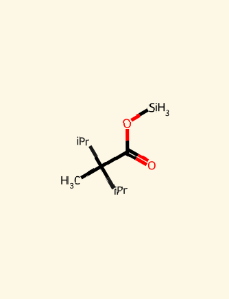 CC(C)C(C)(C(=O)O[SiH3])C(C)C